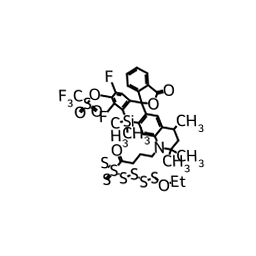 CCOSSSSS(=S)(=S)C(=O)CCCN1c2cc3c(cc2C(C)CC1(C)C)C1(OC(=O)c2ccccc21)c1cc(F)c(OS(=O)(=O)C(F)(F)F)c(F)c1[Si]3(C)C